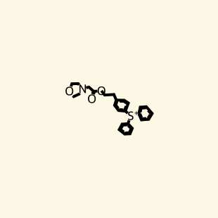 O=C(CN1CCOCC1)OCCc1ccc([S+](c2ccccc2)c2ccccc2)cc1